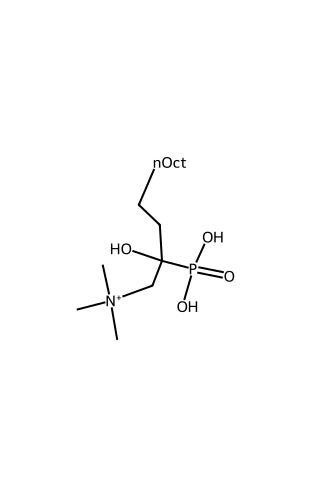 CCCCCCCCCCC(O)(C[N+](C)(C)C)P(=O)(O)O